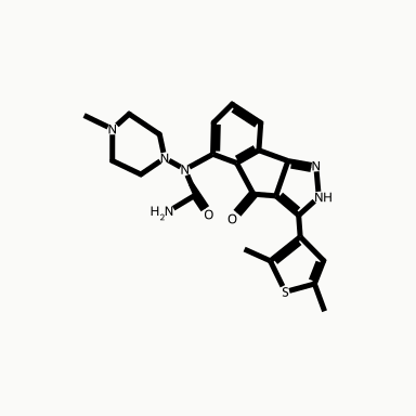 Cc1cc(-c2[nH]nc3c2C(=O)c2c-3cccc2N(C(N)=O)N2CCN(C)CC2)c(C)s1